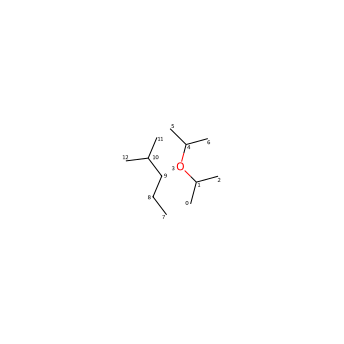 CC(C)OC(C)C.CCCC(C)C